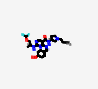 C[C@@H](COC(F)F)Nc1ncc(C(=O)N[C@H]2CCN(CCC(F)(F)F)C2)c(/N=C\C2CCC(O)CC2)n1